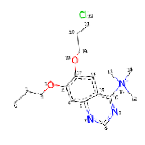 CCCOc1cc2ncnc([N+](C)(C)C)c2cc1OCCC.[Cl-]